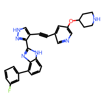 Fc1cccc(-c2cccc3[nH]c(-c4n[nH]cc4C#Cc4cncc(OC5CCNCC5)c4)nc23)c1